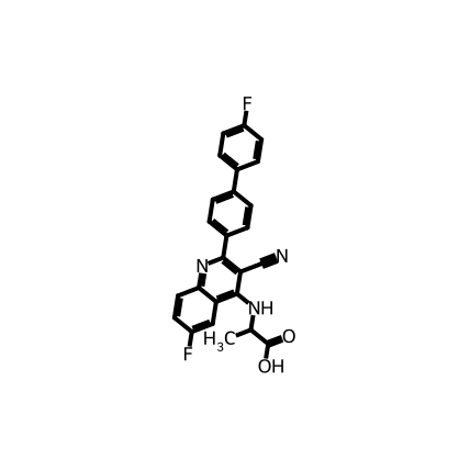 CC(Nc1c(C#N)c(-c2ccc(-c3ccc(F)cc3)cc2)nc2ccc(F)cc12)C(=O)O